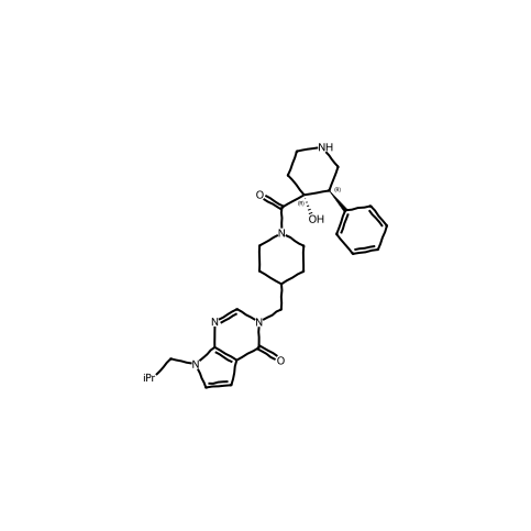 CC(C)Cn1ccc2c(=O)n(CC3CCN(C(=O)[C@@]4(O)CCNC[C@H]4c4ccccc4)CC3)cnc21